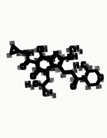 CNc1nn2c(O)c(C(=O)NC3CC3)c(=O)n(CC(C)C)c2c1/C=C/C(=O)N1CCOC[C@@H]1C